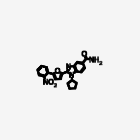 NC(=O)c1ccc2c(c1)nc(-c1ccc(-c3ccccc3[N+](=O)[O-])o1)n2C1CCCC1